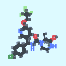 C[C@@H]1C(=O)NCCN1C(=O)NC(c1ccc(Cl)cc1)c1ccc(OCC(F)(F)F)nc1